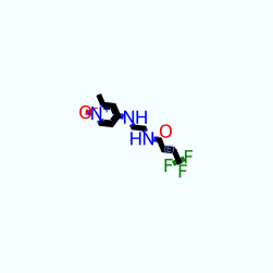 Cc1cc(NCCNC(=O)/C=C/C(F)(F)F)cc[n+]1[O-]